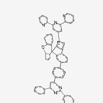 C1=CC2Oc3ccccc3C3(c4cc(-c5ccc(-c6cc(-c7ccccc7)nc(-c7ccccc7)n6)cc5)ccc4-c4ccc(-c5cc(-c6ccccn6)nc(-c6ccccn6)c5)cc43)C2C=C1